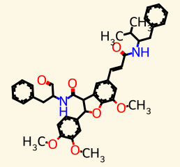 COc1ccc(C2Oc3c(OC)cc(/C=C/C(=O)NC(Cc4ccccc4)C(C)C)cc3C2C(=O)NC(C=O)Cc2ccccc2)cc1OC